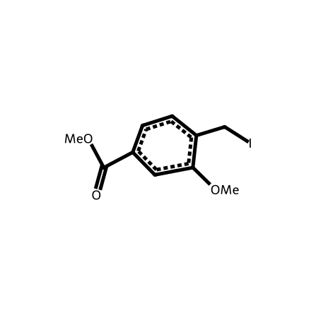 COC(=O)c1ccc(CI)c(OC)c1